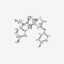 CN(C(=O)N[C@@H]1C[C@H](Cc2ccc(F)cc2)CCN1)c1ccc(F)cc1